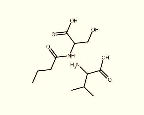 CC(C)C(N)C(=O)O.CCCC(=O)NC(CO)C(=O)O